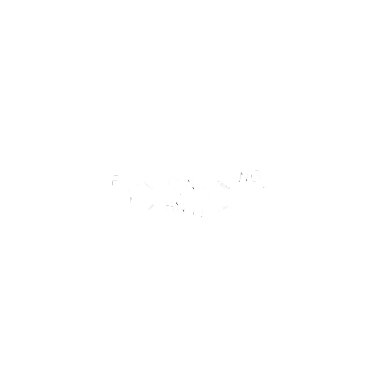 O=[N+]([O-])c1ccc(ONCc2ccc(F)cc2)c([N+](=O)[O-])c1